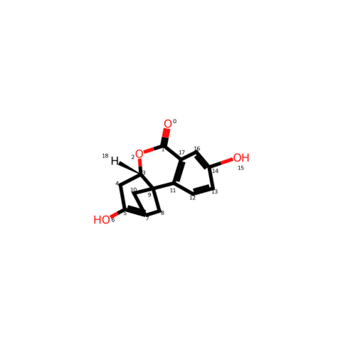 O=C1O[C@H]2CC(O)=C3CC2(C3)c2ccc(O)cc21